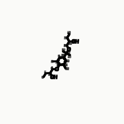 CCC(O)COc1c(C)cc(C(C)(C)OCC(O)CC)cc1C